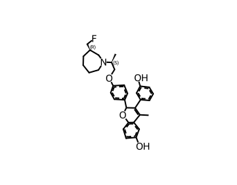 CC1=C(c2cccc(O)c2)C(c2ccc(OC[C@H](C)N3CCCC[C@@H](CF)C3)cc2)Oc2ccc(O)cc21